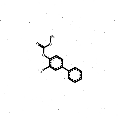 CC(C)(C)OC(=O)Oc1ccc(-c2ccccc2)cc1[N+](=O)[O-]